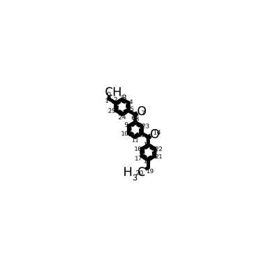 CCc1ccc(C(=O)c2cccc(C(=O)c3ccc(CC)cc3)c2)cc1